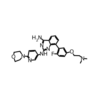 CN(C)CCOc1ccc(F)c(-c2cccc3c(N)nc(Nc4ccc(N5CCOCC5)nc4)nc23)c1